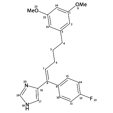 COc1cc(CCC/C=C(\c2ccc(F)cc2)c2c[nH]cn2)cc(OC)c1